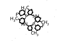 Cc1ccc2c(c1)P(c1cccc(F)c1)c1cc(C)ccc1Nc1ccc(C)cc1P(c1cccc(F)c1)c1cc(C)ccc1N2